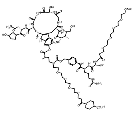 CC[C@H](C)[C@@H]1NC(=O)CNC(=O)[C@H](NC(=O)[C@@H](NC(C)=O)[C@@H](C)[C@@H](O)CO)Cc2c([nH]c3cc(OC(=O)N(C)CCN(CCOCCOCCOCCOCCC(=O)N4CCC(C(=O)O)CC4)C(=O)OCc4ccc(NC(=O)[C@H](CCCNC(N)=O)NC(=O)[C@@H](NC(=O)CCOCCOCCOCCOCCOC)C(C)C)cc4)ccc23)[S+]([O-])C[C@@H](C(=O)N[C@@H](CC(N)=O)C(=O)N2CC[C@@H](O)C2)NC(=O)CNC1=O